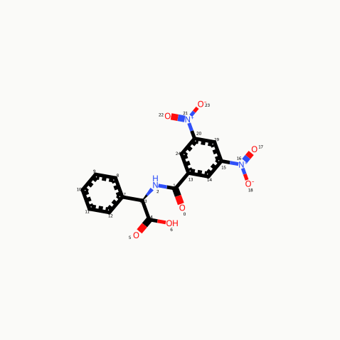 O=C(N[C@@H](C(=O)O)c1ccccc1)c1cc([N+](=O)[O-])cc([N+](=O)[O-])c1